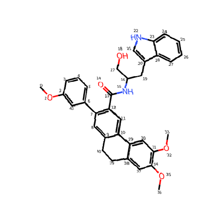 COc1cccc(-c2cc3c(cc2C(=O)NC(CO)Cc2c[nH]c4ccccc24)-c2cc(OC)c(OC)cc2CC3)c1